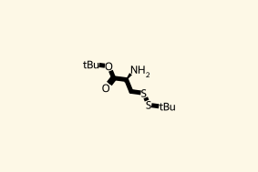 CC(C)(C)OC(=O)[C@@H](N)CSSC(C)(C)C